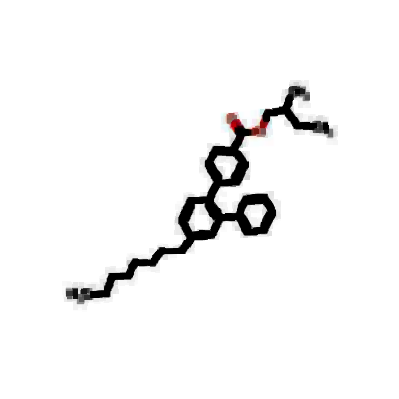 CCCCCCCCc1ccc(-c2ccc(C(=O)OCC(C)CC)cc2)c(-c2ccccc2)c1